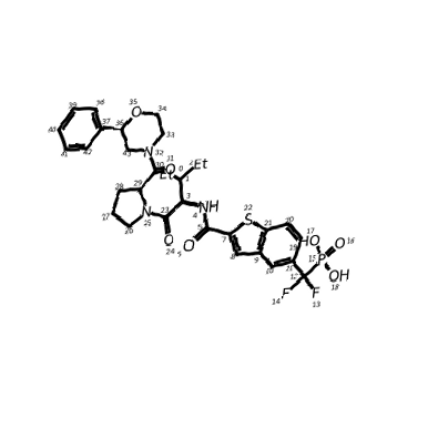 CCC(CC)C(NC(=O)c1cc2cc(C(F)(F)P(=O)(O)O)ccc2s1)C(=O)N1CCC[C@H]1C(=O)N1CCO[C@H](c2ccccc2)C1